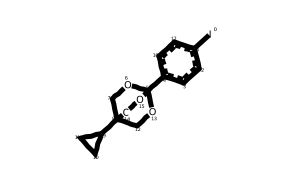 Ic1ccc(C23OCC(C4CC4)(CO2)CO3)cc1